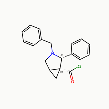 O=C(Cl)[C@]12CC1CN(Cc1ccccc1)[C@@H]2c1ccccc1